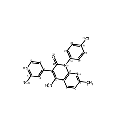 Cc1ccc2c(N)c(-c3ccnc(C#N)c3)c(=O)n(-c3ccc(Cl)cc3)c2n1